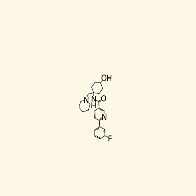 O=C(NC1(CN2CCCCC2)CCC(O)CC1)c1ccc(-c2cccc(F)c2)nc1